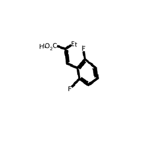 CC/C(=C\c1c(F)cccc1F)C(=O)O